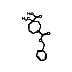 CC1(C(=O)O)CCCN(C(=O)OCc2ccccc2)CC1